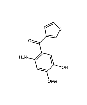 COc1cc(N)c(C(=O)c2ccsc2)cc1O